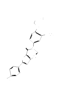 COc1cc(-n2cnc3cc(-c4ccc(Cl)cc4)sc3c2=O)ccc1OCC(=O)O